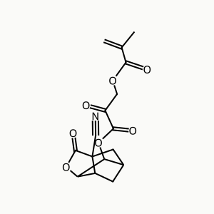 C=C(C)C(=O)OCC(=O)C(=O)OC1C2CC3C1OC(=O)C3(C#N)C2